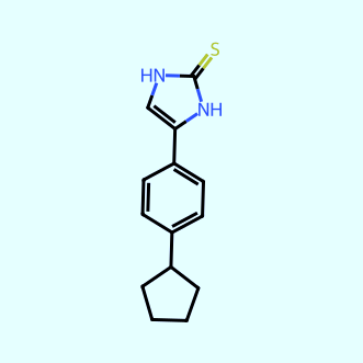 S=c1[nH]cc(-c2ccc(C3CCCC3)cc2)[nH]1